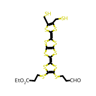 CCOC(=O)CCSC1=C(SCCC=O)SC(=C2SC3=C(SC(=C4SC(CS)=C(CS)S4)S3)S2)S1